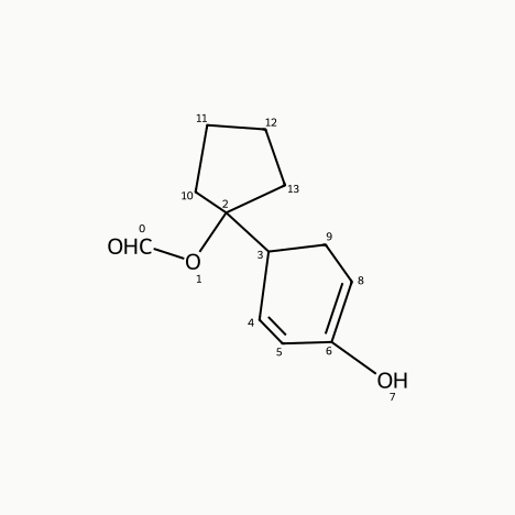 O=COC1(C2C=CC(O)=CC2)CCCC1